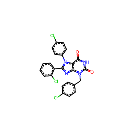 O=c1[nH]c(=O)n(Cc2ccc(Cl)cc2)c2nc(-c3ccccc3Cl)n(-c3ccc(Cl)cc3)c12